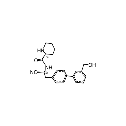 N#C[C@H](Cc1ccc(-c2cccc(CO)c2)cc1)NC(=O)[C@@H]1CCCCN1